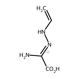 C=CN/N=C(\N)C(=O)O